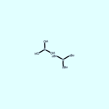 CCCCN(CCCC)CCCC.OB(O)O